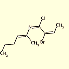 C\C=C(Br)/C(Cl)=N\C(C)=C\CCC